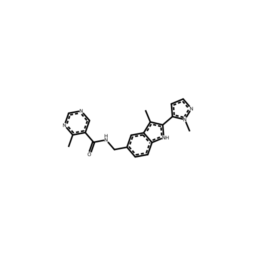 Cc1ncncc1C(=O)NCc1ccc2[nH]c(-c3ccnn3C)c(C)c2c1